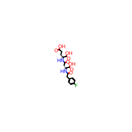 O=C(O)CC[C@H](NC(=O)C[C@@H](NC(=O)Cc1ccc(F)cc1)C(=O)O)C(=O)O